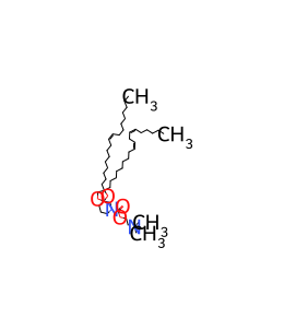 CCCCC/C=C\C/C=C\CCCCCCCCC1(CCCCCCCC/C=C\CCCCCCCC)COC2(CCCN(C(=O)OCCN(C)C)C2)O1